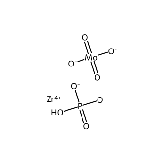 O=P([O-])([O-])O.[O]=[Mo](=[O])([O-])[O-].[Zr+4]